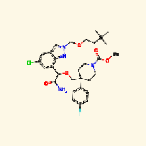 CC(C)(C)OC(=O)N1CCC(COC(C(N)=O)c2cc(Cl)cc3cn(COCC[Si](C)(C)C)nc23)(c2ccc(F)cc2)CC1